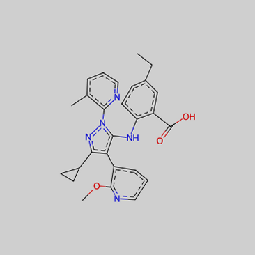 CCc1ccc(Nc2c(-c3cccnc3OC)c(C3CC3)nn2-c2ncccc2C)c(C(=O)O)c1